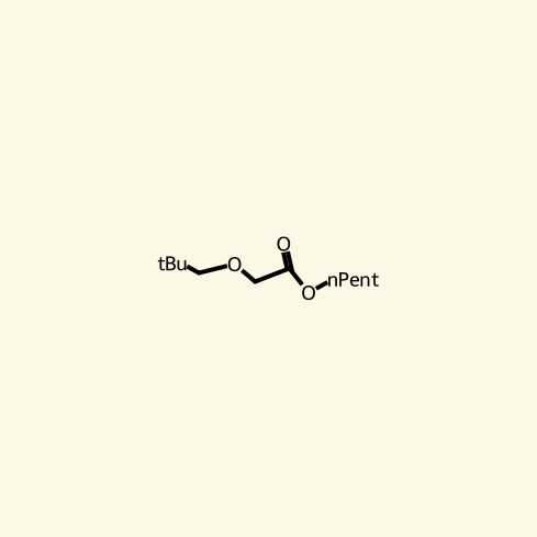 CCCCCOC(=O)COCC(C)(C)C